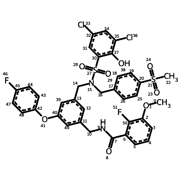 COc1cccc(C(=O)NCc2cc(CN(Cc3ccc(S(C)(=O)=O)cc3)S(=O)(=O)c3cc(Cl)cc(Cl)c3O)cc(Oc3ccc(F)cc3)c2)c1F